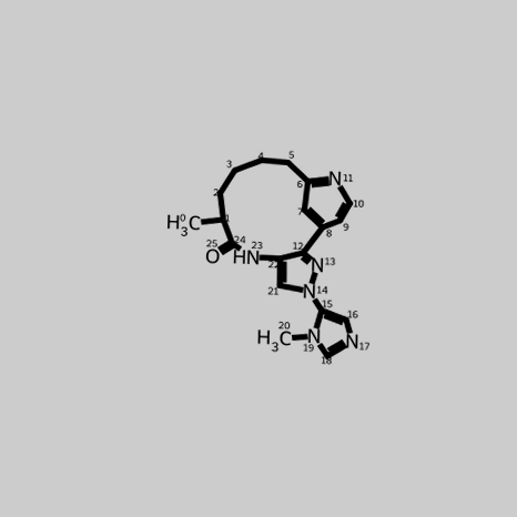 CC1CCCCc2cc(ccn2)-c2nn(-c3cncn3C)cc2NC1=O